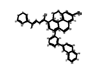 CC/C(=C\C=C(/C)C1=CCCC=N1)c1cc(-c2cccc(-c3ccc4ccccc4c3)c2)c2ccc3cc(C(C)(C)C)cc4c3c2c1CC4